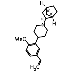 C=Cc1ccc(OC)c(C2CCN([C@H]3C[C@H]4CC[C@H]3C4)CC2)c1